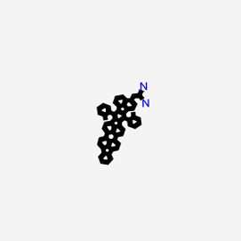 Cc1ccccc1-c1c2c3cccc4c(C=C(C#N)C#N)ccc(c2c(-c2ccccc2C)c2c5ccc6c7ccc8c9c(ccc(c%10ccc(c12)c5c%106)c97)-c1ccccc1-8)c43